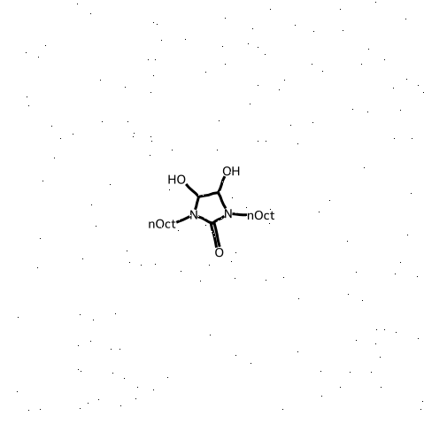 CCCCCCCCN1C(=O)N(CCCCCCCC)C(O)C1O